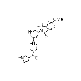 COc1ccc2c(n1)C(C)(C)N(c1cncc(N3CCN(C(=O)c4cnn(C)c4)CC3)c1)C2=O